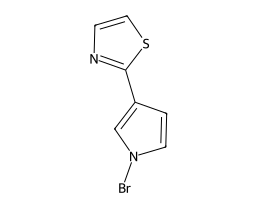 Brn1ccc(-c2nccs2)c1